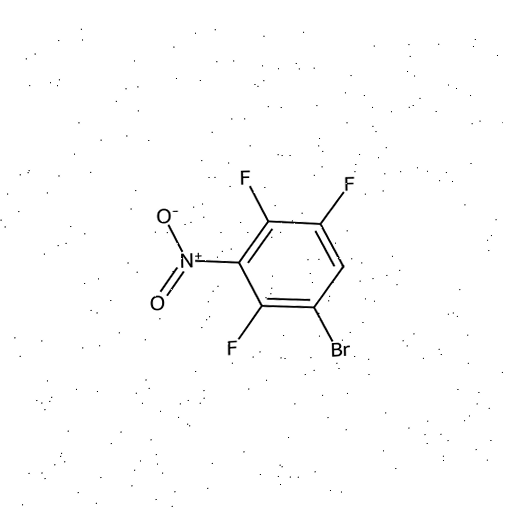 O=[N+]([O-])c1c(F)c(F)cc(Br)c1F